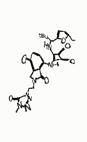 Cc1ccc(C(Nc2c(Nc3ccc(Cl)c4c3C(=O)N(CCn3nnn(C)c3=O)C4)c(=O)c2=O)C(C)(C)C)o1